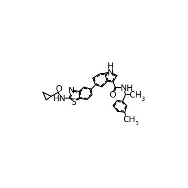 Cc1cccc([C@H](C)NC(=O)c2c[nH]c3ccc(-c4ccc5sc(NC(=O)C6CC6)nc5c4)cc23)c1